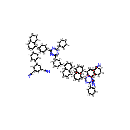 N#Cc1cc(C#N)cc(-c2ccc(-c3ccc4ccccc4c3-c3ccc(-c4nc(-c5ccccc5)nc(-c5cccc(-c6ccc(-c7ccc(-c8cc(C#N)cc(C#N)c8)cc7)c7c(-c8ccc(-c9nc(-c%10ccccc%10)nc(-c%10ccccc%10)n9)cc8)cccc67)c5)n4)cc3)cc2)c1